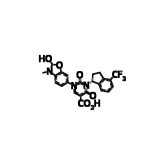 CN1c2ccc(-n3cc(C(=O)O)c(=O)n([C@@H]4CCc5c4cccc5C(F)(F)F)c3=O)cc2OC1O